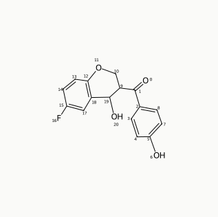 O=C(c1ccc(O)cc1)C1COc2ccc(F)cc2C1O